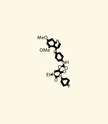 CCn1cc(OC(=O)Nc2ccc(Oc3ccnc4cc(OC)cc(OC)c34)cc2)c(=O)n(-c2ccc(F)cc2)c1=O